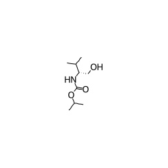 CC(C)OC(=O)N[C@@H](CO)C(C)C